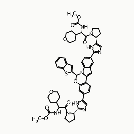 COC(=O)N[C@H](C(=O)N1CCC[C@H]1c1cnc(-c2ccc3c(c2)cc2n3C(c3cc4ccccc4s3)Oc3cc(-c4cnc([C@@H]5CCCN5C(=O)[C@@H](NC(=O)OC)C5CCOCC5)[nH]4)ccc3-2)[nH]1)C1CCOCC1